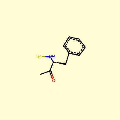 CC(=O)[C@H](Cc1ccccc1)NS